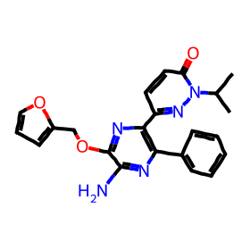 CC(C)n1nc(-c2nc(OCc3ccco3)c(N)nc2-c2ccccc2)ccc1=O